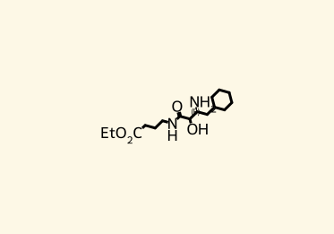 CCOC(=O)CCCNC(=O)C(O)[C@H](N)CC1CCCCC1